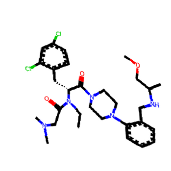 CCN(C(=O)CN(C)C)[C@H](Cc1ccc(Cl)cc1Cl)C(=O)N1CCN(c2ccccc2CNC(C)COC)CC1